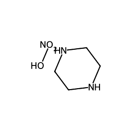 C1CNCCN1.O=[N+]([O-])O